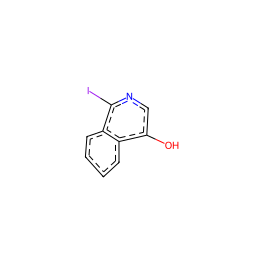 Oc1cnc(I)c2ccccc12